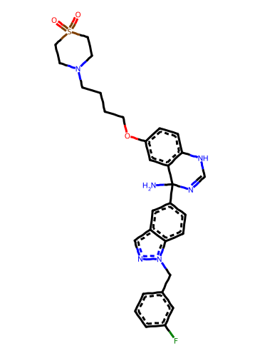 NC1(c2ccc3c(cnn3Cc3cccc(F)c3)c2)N=CNc2ccc(OCCCCN3CCS(=O)(=O)CC3)cc21